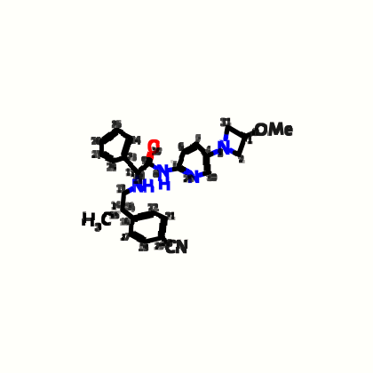 COC1CN(c2ccc(NC(=O)[C@@H](NC[C@@H](C)c3ccc(C#N)cc3)c3ccccc3)nc2)C1